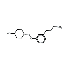 NCCCc1cccc(OC=C2CCC(O)CC2)c1